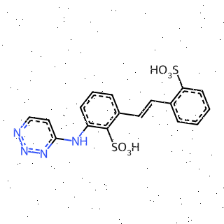 O=S(=O)(O)c1ccccc1/C=C/c1cccc(Nc2ccnnn2)c1S(=O)(=O)O